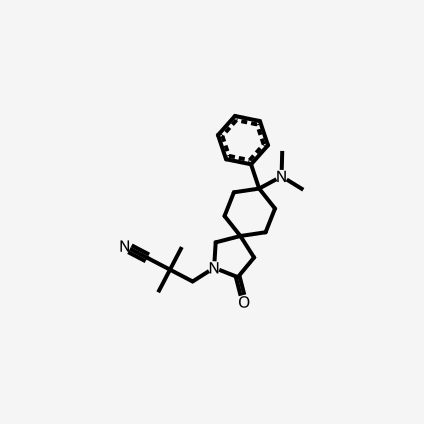 CN(C)C1(c2ccccc2)CCC2(CC1)CC(=O)N(CC(C)(C)C#N)C2